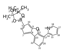 CC1(C)OB(c2ccc3c(c2)oc2c(-c4ccccn4)cccc23)OC1(C)C